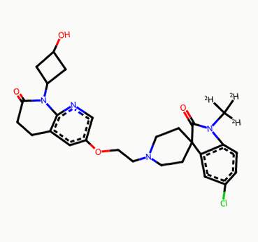 [2H]C([2H])([2H])N1C(=O)C2(CCN(CCOc3cnc4c(c3)CCC(=O)N4C3CC(O)C3)CC2)c2cc(Cl)ccc21